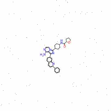 Nc1nccn2c(C3CCC(NC(=O)C4CCCO4)CC3)nc(-c3ccc4ccc(-c5ccccc5)nc4c3)c12